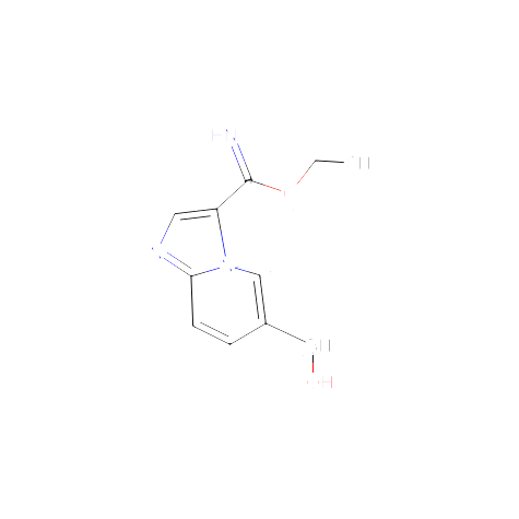 CCOC(=N)c1cnc2ccc(BO)cn12